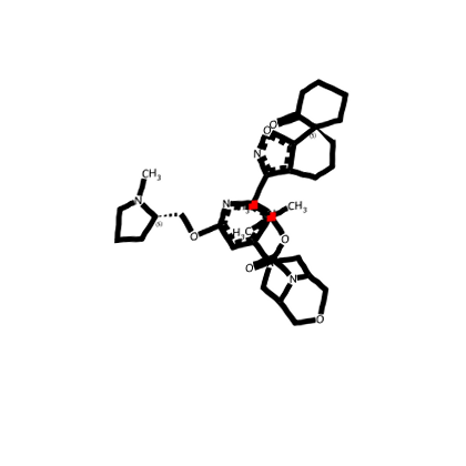 CN1CCC[C@H]1COc1cc(N2CC3COCC(C2)N3C(=O)OC(C)(C)C)nc(-c2noc3c2CCC[C@@]32CCCCC2=O)n1